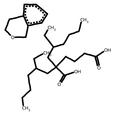 CCCCC(CC)CC(CCCC(=O)O)(CC(CC)CCCC)C(=O)O.c1ccc2c(c1)CCOC2